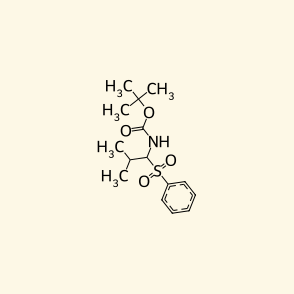 CC(C)C(NC(=O)OC(C)(C)C)S(=O)(=O)c1ccccc1